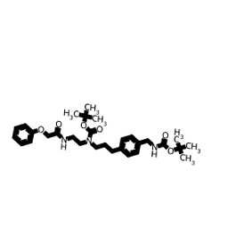 CC(C)(C)OC(=O)NCc1ccc(CCCN(CCNC(=O)COc2ccccc2)C(=O)OC(C)(C)C)cc1